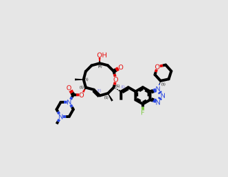 C/C(=C\c1cc(F)c2nnn([C@H]3CCCOC3)c2c1)[C@H]1OC(=O)C[C@H](O)CC[C@H](C)[C@H](OC(=O)N2CCN(C)CC2)/C=C/[C@@H]1C